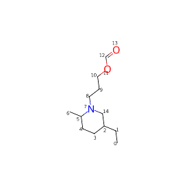 CCC1CCC(C)N(CCCOC=O)C1